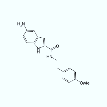 COc1ccc(CCNC(=O)c2cc3cc(N)ccc3[nH]2)cc1